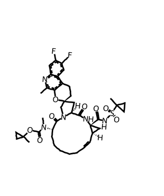 Cc1nc2cc(F)c(F)cc2c2c1O[C@]1(CC2)C[C@H]2C(=O)N[C@]3(C(=O)NS(=O)(=O)C4(C)CC4)C[C@H]3/C=C\CCCCC[C@H](N(C)C(=O)OC3(C)CC3)C(=O)N2C1